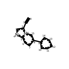 C#Cc1cnc2ccc(-c3cc[c]cc3)cn12